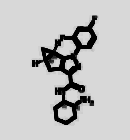 N[C@H]1CCCC[C@@H]1NC(=O)c1nn(-c2ccc(F)cc2F)c2c1C[C@H]1C[C@@H]21